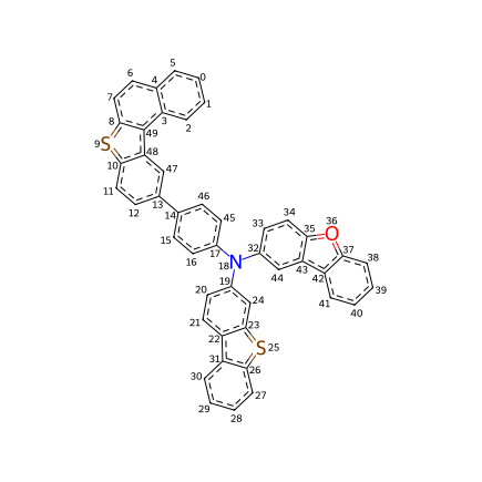 c1ccc2c(c1)ccc1sc3ccc(-c4ccc(N(c5ccc6c(c5)sc5ccccc56)c5ccc6oc7ccccc7c6c5)cc4)cc3c12